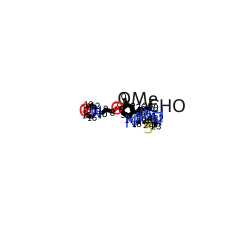 COc1cc2c(cc1OCCCN1CCOCC1)N=CN(c1cncs1)C2(C)NCC=O